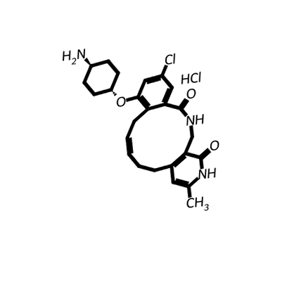 Cc1cc2c(c(=O)[nH]1)CNC(=O)c1cc(Cl)cc(O[C@H]3CC[C@H](N)CC3)c1C/C=C\CC2.Cl